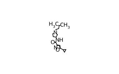 CC(C)CCN1CCC(NC(=O)c2cc(C3CC3)on2)C1